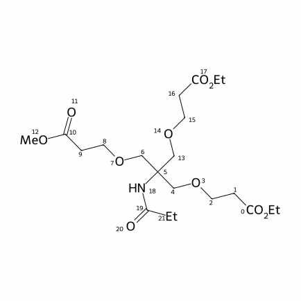 CCOC(=O)CCOCC(COCCC(=O)OC)(COCCC(=O)OCC)NC(=O)CC